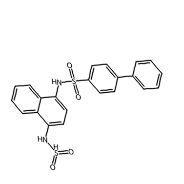 O=[SH](=O)Nc1ccc(NS(=O)(=O)c2ccc(-c3ccccc3)cc2)c2ccccc12